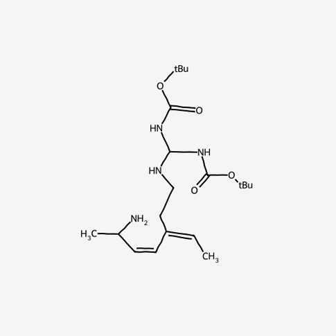 C/C=C(\C=C/C(C)N)CCNC(NC(=O)OC(C)(C)C)NC(=O)OC(C)(C)C